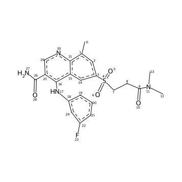 Cc1cc(S(=O)(=O)CCC(=O)N(C)C)cc2c(Nc3cccc(F)c3)c(C(N)=O)cnc12